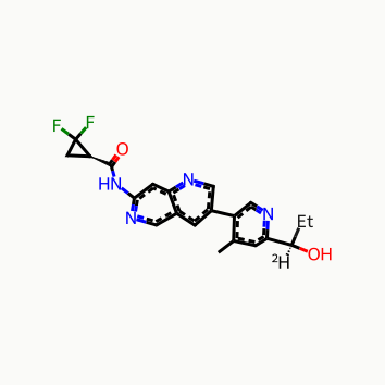 [2H][C@@](O)(CC)c1cc(C)c(-c2cnc3cc(NC(=O)[C@H]4CC4(F)F)ncc3c2)cn1